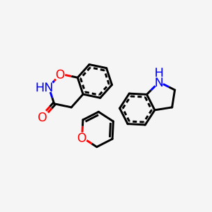 C1=CCOC=C1.O=C1Cc2ccccc2ON1.c1ccc2c(c1)CCN2